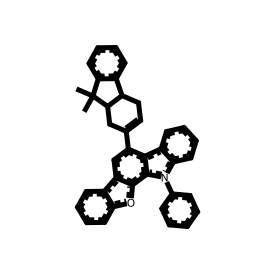 CC1(C)c2ccccc2C2CC=C(c3cc4c5ccccc5oc4c4c3c3ccccc3n4-c3ccccc3)CC21